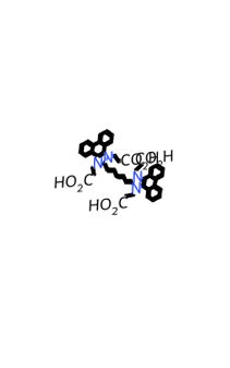 O=C(O)CCN1C(=C/C=C/C=C/c2n(CCC(=O)O)c3c4ccccc4c4ccccc4c3[n+]2CCC(=O)O)N(CCC(=O)O)c2c1c1ccccc1c1ccccc21